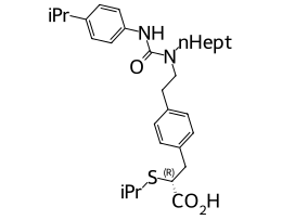 CCCCCCCN(CCc1ccc(C[C@@H](SC(C)C)C(=O)O)cc1)C(=O)Nc1ccc(C(C)C)cc1